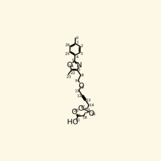 Cc1ccc(-c2nc(CCOCC#CCS(=O)(=O)CC(=O)O)c(C)o2)cc1